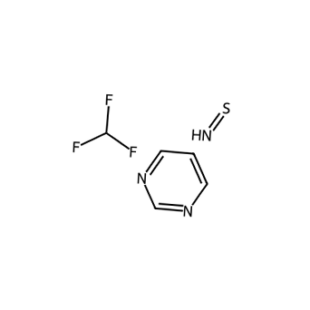 FC(F)F.N=S.c1cncnc1